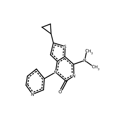 CN(C)c1nc(=O)n(-c2cccnc2)c2cc(C3CC3)sc12